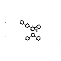 c1ccc(-c2ccc(-c3nc(-c4cc(-c5ccccc5)cc(-c5ccccc5)c4)c4sc5ccccc5c4n3)cc2)cc1